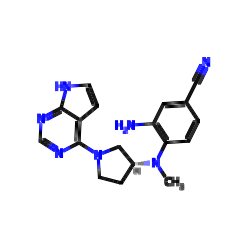 CN(c1ccc(C#N)cc1N)[C@@H]1CCN(c2ncnc3[nH]ccc23)C1